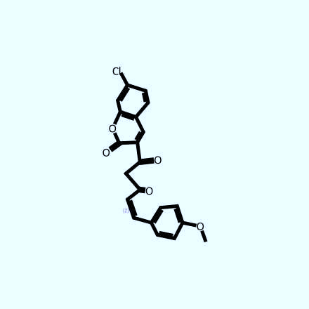 COc1ccc(/C=C\C(=O)CC(=O)c2cc3ccc(Cl)cc3oc2=O)cc1